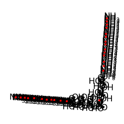 N.N.N.N.N.N.N.N.N.N.N.N.N.N.N.N.N.N.N.N.N.N.N.N.N.N.N.N.N.N.N.N.N.N.N.N.N.N.N.N.N.N.N.N.N.N.N.N.N.N.N.N.N.N.N.N.N.N.N.N.N.N.N.N.N.N.N.N.N.N.N.N.N.N.N.O=C(O)CC(C(=O)O)S(=O)(=O)O.O=C(O)CC(C(=O)O)S(=O)(=O)O.O=C(O)CC(C(=O)O)S(=O)(=O)O.O=C(O)CC(C(=O)O)S(=O)(=O)O.O=C(O)CC(C(=O)O)S(=O)(=O)O.O=C(O)CC(C(=O)O)S(=O)(=O)O